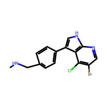 CNCc1ccc(-c2c[nH]c3ncc(Br)c(Cl)c23)cc1